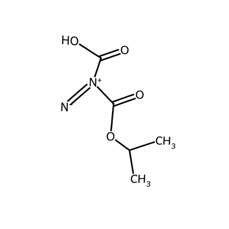 CC(C)OC(=O)[N+](=[N-])C(=O)O